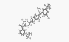 C=C(c1ccnc(NSC)c1)N1CC[C@@H](N2Cc3cnc(Nc4cc(C)cc(C(F)(F)F)c4)nc3C2)C[C@H]1C